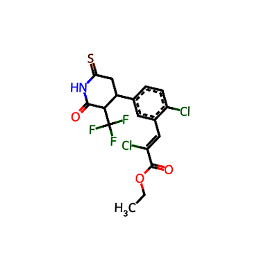 CCOC(=O)C(Cl)=Cc1cc(C2CC(=S)NC(=O)C2C(F)(F)F)ccc1Cl